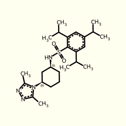 Cc1nnc(C)n1[C@@H]1CCC[C@H](NS(=O)(=O)c2c(C(C)C)cc(C(C)C)cc2C(C)C)C1